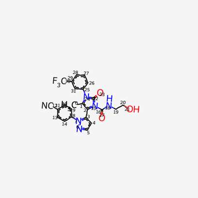 Cc1c(-c2ccnn2-c2ccc(C#N)cc2)n(C(=O)NCCO)c(=O)n1-c1cccc(C(F)(F)F)c1